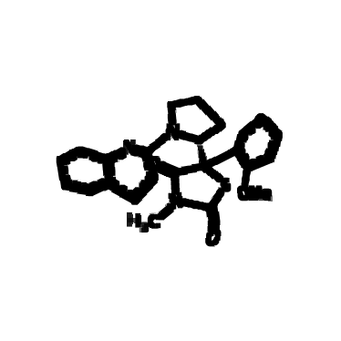 COc1ccccc1C1([C@H]2CCCN2c2ccc3ccccc3n2)SC(=O)N(C)C1=O